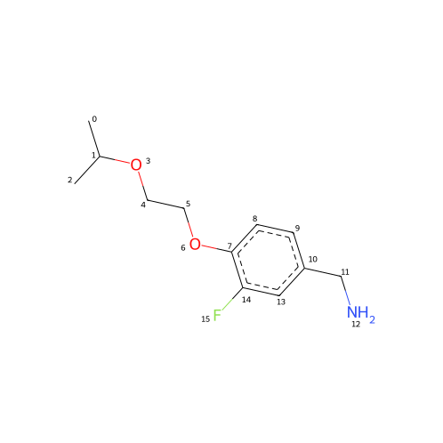 CC(C)OCCOc1ccc(CN)cc1F